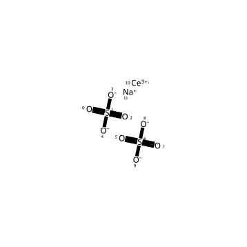 O=S(=O)([O-])[O-].O=S(=O)([O-])[O-].[Ce+3].[Na+]